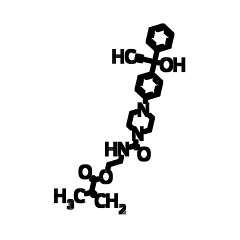 C#CC(O)(c1ccccc1)c1ccc(N2CCN(C(=O)NCCOC(=O)C(=C)C)CC2)cc1